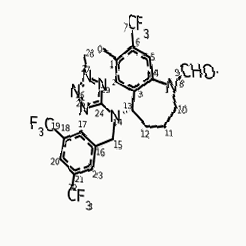 Cc1cc2c(cc1C(F)(F)F)N([C]=O)CCC[C@@H]2N(Cc1cc(C(F)(F)F)cc(C(F)(F)F)c1)c1nnn(C)n1